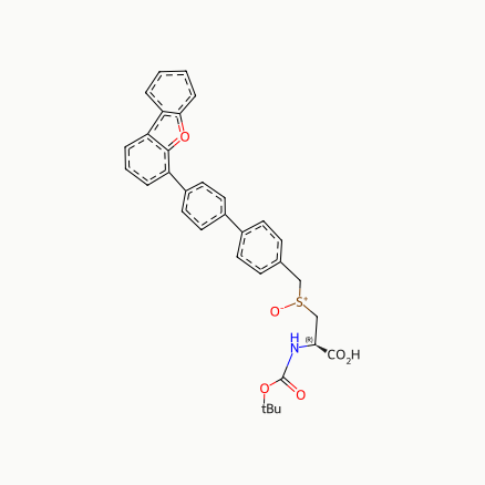 CC(C)(C)OC(=O)N[C@@H](C[S+]([O-])Cc1ccc(-c2ccc(-c3cccc4c3oc3ccccc34)cc2)cc1)C(=O)O